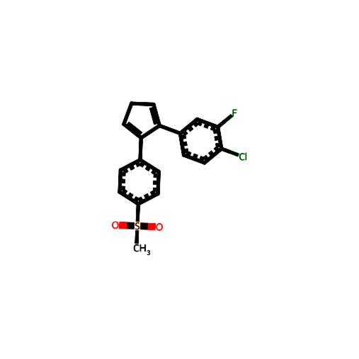 CS(=O)(=O)c1ccc(C2=CCC=C2c2ccc(Cl)c(F)c2)cc1